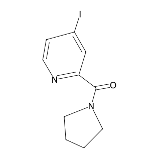 O=C(c1cc(I)ccn1)N1CCCC1